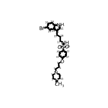 CN1CCN(CCCOc2ccc(S(=O)(=O)NCCCc3c[nH]c4ccc(Br)cc34)cc2)CC1